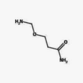 NCOCCC(N)=O